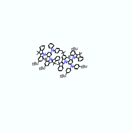 CC(C)(C)c1ccc(N(c2ccc(C(C)(C)C)cc2)c2cc3c4c(c2)-n2c5c(c6cc(C(C)(C)Cc7ccc(N(c8ccccc8)c8cc9c%10c(c8)-n8c%11c(c%12cc(C(C)(C)C)cc(c%128)B%10c8cc(C(C)(C)C)cc%10c%12c(n-9c8%10)-c8ccccc8C%12(C)C)C(C)(C)c8ccccc8-%11)cc7)cc(c62)B4c2cc(C(C)(C)C)cc4c6c(n-3c24)-c2ccccc2C6(C)C)C(C)(C)c2ccccc2-5)cc1